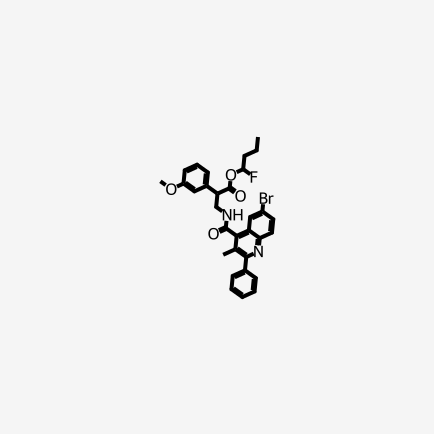 CCCC(F)OC(=O)C(CNC(=O)c1c(C)c(-c2ccccc2)nc2ccc(Br)cc12)c1cccc(OC)c1